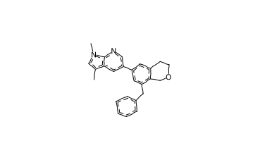 Cc1cn(C)c2ncc(-c3cc4c(c(Cc5ccccc5)c3)COCC4)cc12